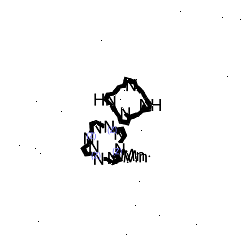 C1=C/C2=N/C3=NC(=N\C4=NC(=N\C5=NC(=N\C1=N2)/C=C5)/C=C4)/C=C3.C1=Cc2cc3ccc(cc4nc(cc5ccc(cc1n2)[nH]5)C=C4)[nH]3.[Mn].[Mn]